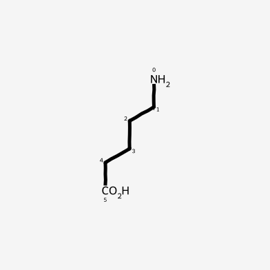 N[CH]CCCC(=O)O